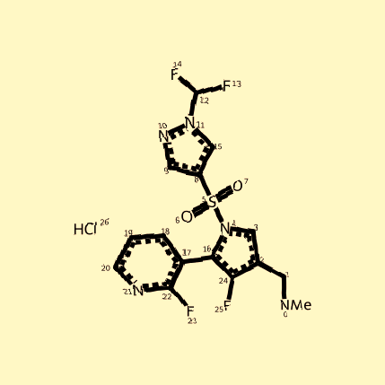 CNCc1cn(S(=O)(=O)c2cnn(C(F)F)c2)c(-c2cccnc2F)c1F.Cl